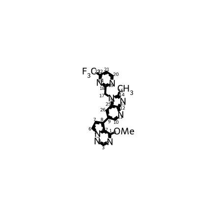 COc1ncnn2ccc(-c3cnc4nc(C)n(Cc5nccc(C(F)(F)F)n5)c4c3)c12